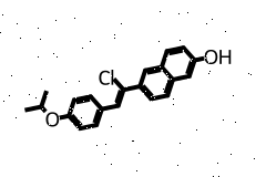 CC(C)Oc1ccc(/C=C(\Cl)c2ccc3cc(O)ccc3c2)cc1